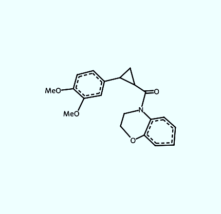 COc1ccc(C2CC2C(=O)N2CCOc3ccccc32)cc1OC